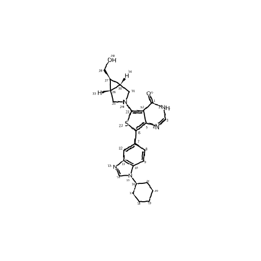 O=c1[nH]cnc2c(-c3ccc4c(c3)ncn4C3CCCCC3)sc(N3C[C@@H]4[C@@H](CO)[C@@H]4C3)c12